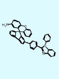 Nc1ccc2c(c1)C1(c3ccccc3O2)c2ccccc2-c2ccc(-c3ccc(-c4nc5ccccc5n4-c4ccccc4)cc3)cc21